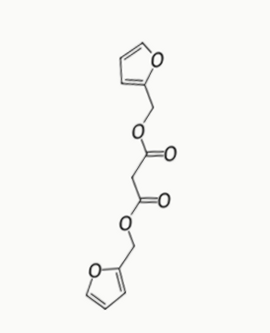 O=C(CC(=O)OCc1ccco1)OCc1ccco1